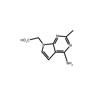 Cc1nc(N)c2ccn(CC(=O)O)c2n1